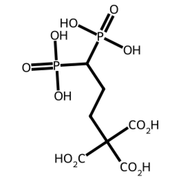 O=C(O)C(CCC(P(=O)(O)O)P(=O)(O)O)(C(=O)O)C(=O)O